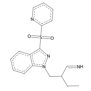 CCC(C=N)Cn1nc(S(=O)(=O)c2ccccn2)c2ccccc21